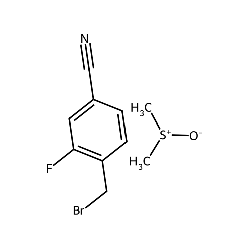 C[S+](C)[O-].N#Cc1ccc(CBr)c(F)c1